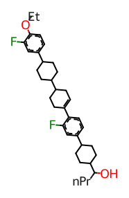 CCCC(O)C1CCC(c2ccc(C3=CCC(C4CCC(c5ccc(OCC)c(F)c5)CC4)CC3)c(F)c2)CC1